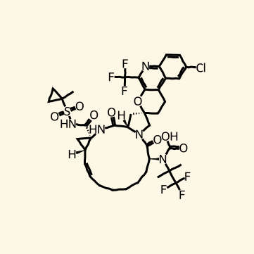 CC(C)(N(C(=O)O)[C@H]1CCCCC/C=C\[C@@H]2C[C@@]2(C(=O)NS(=O)(=O)C2(C)CC2)NC(=O)[C@@H]2C[C@]3(CCc4c(c(C(F)(F)F)nc5ccc(Cl)cc45)O3)CN2C1=O)C(F)(F)F